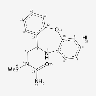 CSN(CC1Nc2ccccc2Oc2ccccc21)C(N)=O.I